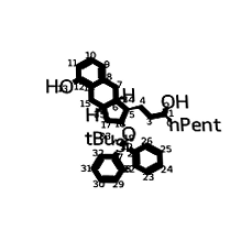 CCCCC[C@H](O)CC[C@@H]1[C@H]2Cc3cccc(O)c3C[C@H]2C[C@H]1O[Si](c1ccccc1)(c1ccccc1)C(C)(C)C